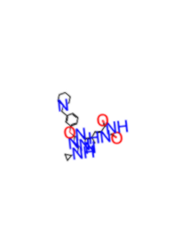 O=C1NC(=O)/C(=C/c2cnn3c(NC4CC4)nc(Oc4cccc(CN5CCCCC5)c4)nc23)N1